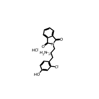 Cl.N[C@@H](Cc1ccc(O)cc1Cl)CN1C(=O)c2ccccc2C1=O